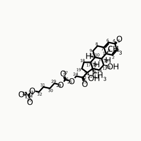 C[C@]12C=CC(=O)C=C1CC[C@@H]1[C@@H]2[C@@H](O)C[C@@]2(C)[C@H]1CC[C@]2(O)C(=O)COC(=O)OCCCCO[N+](=O)[O-]